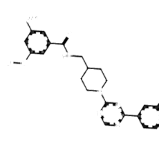 CCOc1cc(OC)cc(C(=O)NCC2CCN(c3ncnc(-c4cccc(C#N)c4)n3)CC2)c1